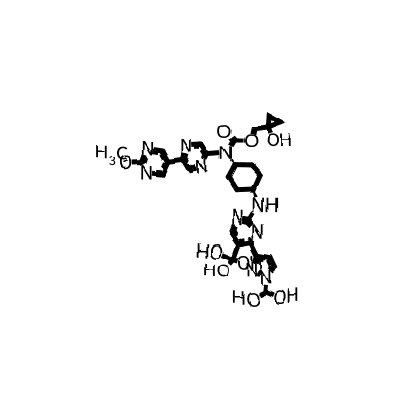 COc1ncc(-c2cnc(N(C(=O)OCC3(O)CC3)[C@H]3CC[C@H](Nc4ncc(C(O)(O)O)c(-c5ccn(C(O)O)n5)n4)CC3)cn2)cn1